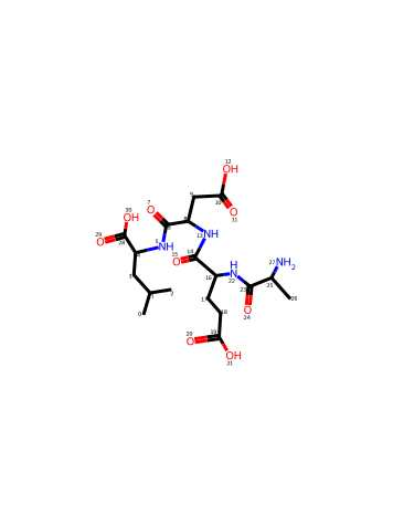 CC(C)CC(NC(=O)C(CC(=O)O)NC(=O)C(CCC(=O)O)NC(=O)C(C)N)C(=O)O